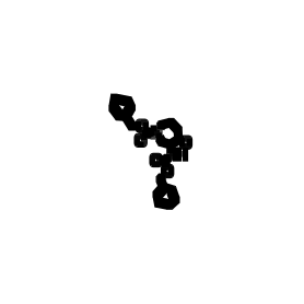 O=C(NC1CN(C(=O)OCc2ccccc2)CCCC1=O)OCc1ccccc1